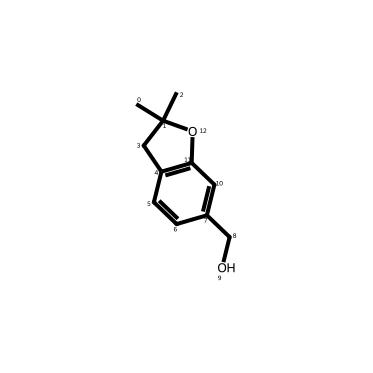 CC1(C)Cc2ccc(CO)cc2O1